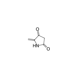 C=C1NC(=O)CC1=O